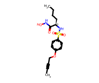 CC#CCOc1ccc(S(=O)(=O)N[C@H](CCCC)C(=O)NO)cc1